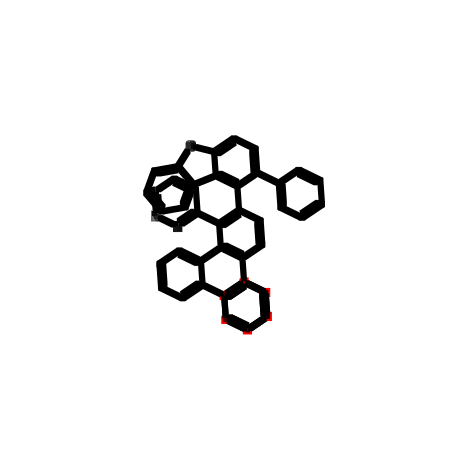 c1ccc(-c2ccccc2-c2c(-c3ccccc3)ccc(-c3c(-c4ccccc4)ccc4oc5ccccc5c34)c2-c2ccnnn2)cc1